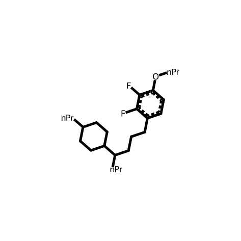 CCCOc1ccc(CCCC(CCC)C2CCC(CCC)CC2)c(F)c1F